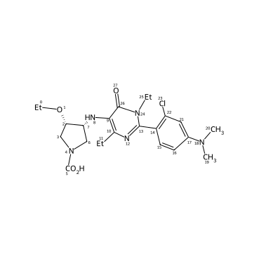 CCO[C@H]1CN(C(=O)O)C[C@H]1Nc1c(CC)nc(-c2ccc(N(C)C)cc2Cl)n(CC)c1=O